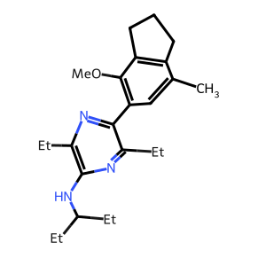 CCc1nc(-c2cc(C)c3c(c2OC)CCC3)c(CC)nc1NC(CC)CC